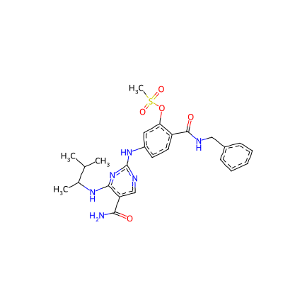 CC(C)C(C)Nc1nc(Nc2ccc(C(=O)NCc3ccccc3)c(OS(C)(=O)=O)c2)ncc1C(N)=O